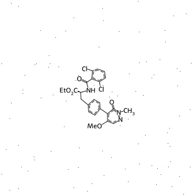 CCOC(=O)[C@H](Cc1ccc(-c2c(OC)cnn(C)c2=O)cc1)NC(=O)c1c(Cl)cccc1Cl